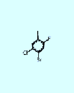 Fc1cc(Br)c(Cl)cc1I